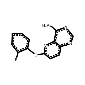 Fc1ccccc1Oc1ccc2ncnc([AsH2])c2n1